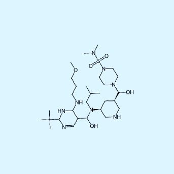 COCCCNC1NC(C(C)(C)C)N=CC1C(O)N(CC(C)C)[C@@H]1CNC[C@H](C(O)N2CCN(S(=O)(=O)N(C)C)CC2)C1